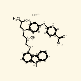 CC(C)CN(C[C@H](O)COc1cccc2[nH]c3ccccc3c12)c1ccc(Oc2ccc(C(N)=O)cn2)cc1.Cl